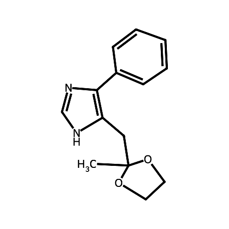 CC1(Cc2[nH]cnc2-c2ccccc2)OCCO1